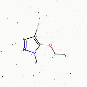 CCOc1c(F)[c]nn1C